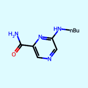 CCCCNc1cncc(C(N)=O)n1